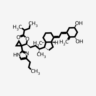 C=C1/C(=C\C=C2/CCC[C@]3(C)[C@@H]([C@H](C)CC[C@H](OC(=O)C(C)CC)C4(c5nc(CCC)c[nH]5)CC4)CC[C@@H]23)C[C@@H](O)C[C@@H]1O